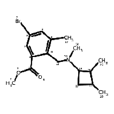 COC(=O)c1cc(Br)cc(C)c1CN(C)C1CC(C)C1C